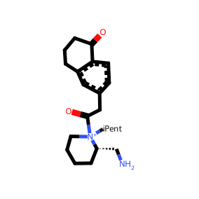 CCCC(C)[N+]1(C(=O)Cc2ccc3c(c2)CCCC3=O)CCCC[C@H]1CN